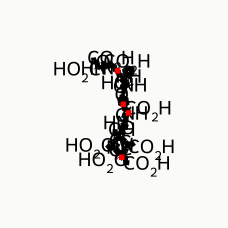 O=C(O)CCC(C(=O)O)N1CCN(CC(=O)O)CCN(C(CO)CCC(=O)NCC(=O)N[C@@H](Cc2ccc(OCC(=O)N[C@@H](Cc3ccccc3)C(=O)NCCCC[C@H](NC(=O)N[C@@H](CCC(=O)O)C(=O)O)C(=O)O)cc2)C(=O)O)CCN(CC(=O)O)CC1